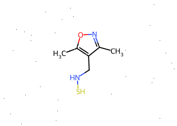 Cc1noc(C)c1CNS